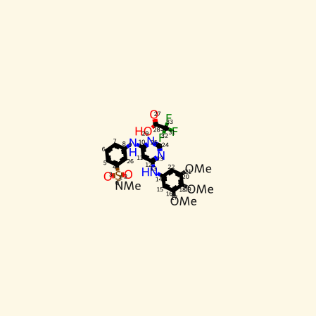 CNS(=O)(=O)c1cccc(Nc2cc(Nc3cc(OC)c(OC)c(OC)c3)ncn2)c1.O=C(O)C(F)(F)F